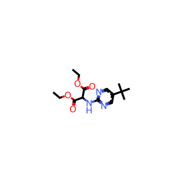 CCOC(=O)C(Nc1ncc(C(C)(C)C)cn1)C(=O)OCC